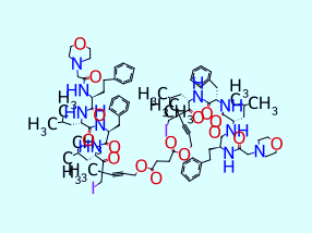 CC(C)C[C@H](NC(=O)[C@H](CCc1ccccc1)NC(=O)CN1CCOCC1)C(=O)N[C@@H](Cc1ccccc1)C(=O)N[C@@H](CC(C)C)C(=O)[C@](C)(C#CCOC(=O)CCC(=O)OCC#C[C@](C)(CI)C(=O)[C@H](CC(C)C)NC(=O)[C@H](Cc1ccccc1)NC(=O)[C@H](CC(C)C)NC(=O)[C@H](CCc1ccccc1)NC(=O)CN1CCOCC1)CI